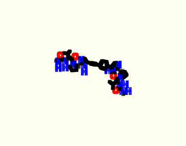 CNC(=O)N[C@H](C(=O)N1CCC[C@H]1c1ncc(C#Cc2ccc(-c3cnc([C@@H]4CCCN4C(=O)[C@@H](NC(=O)NC)C(C)C)[nH]3)cc2)[nH]1)C(C)C